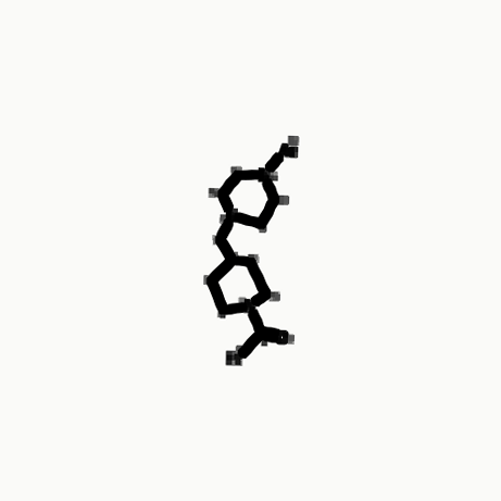 CCC(=O)N1CCC(CN2CCN(C(C)=O)CC2)CC1